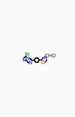 O=CN1CCOC(c2ccc(-c3cn4c(Br)cnc4cn3)cc2)C1